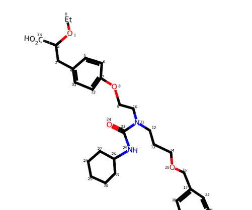 CCOC(Cc1ccc(OCCN(CCCOCc2ccccc2)C(=O)NC2CCCCC2)cc1)C(=O)O